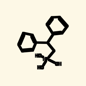 O[PH](O)(O)CC(c1ccccc1)c1ccccc1